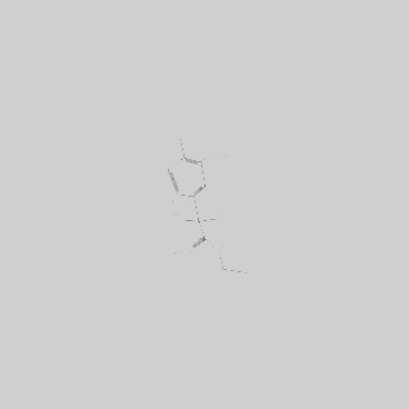 CCOC(=O)C(F)(F)c1ccc(C)c(C)c1